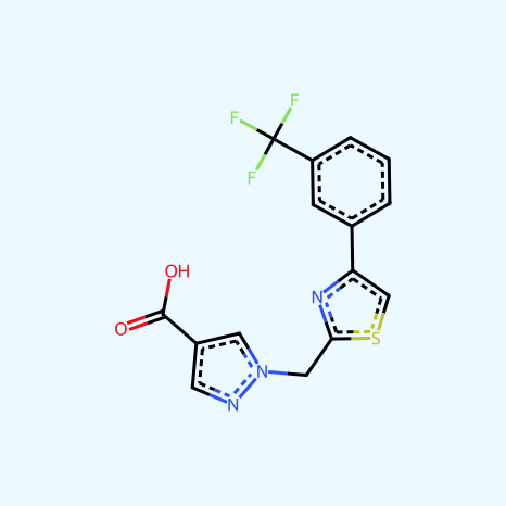 O=C(O)c1cnn(Cc2nc(-c3cccc(C(F)(F)F)c3)cs2)c1